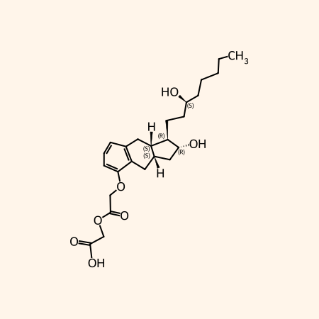 CCCCC[C@H](O)CC[C@@H]1[C@H]2Cc3cccc(OCC(=O)OCC(=O)O)c3C[C@H]2C[C@H]1O